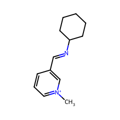 C[n+]1cccc(C=NC2CCCCC2)c1